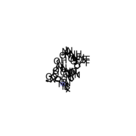 C#CCN1C(=O)COc2cc(F)c(/N=c3\snc4n3CC(C)(C)C4)cc21.COc1cc(OC)nc(NC(=O)NS(=O)(=O)c2ncccc2C(=O)N(C)C)n1.COc1nc(C)nc(NC(=O)NS(=O)(=O)c2ccccc2CCC(F)(F)F)n1